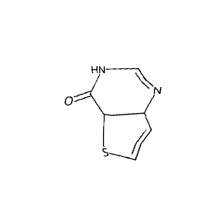 O=C1NC=NC2C=CSC12